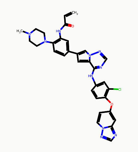 C=CC(=O)Nc1cc(-c2cc3c(Nc4ccc(Oc5ccn6ncnc6c5)c(Cl)c4)ncnn3c2)ccc1N1CCN(C)CC1